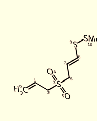 C=CCS(=O)(=O)C/C=C/SSC